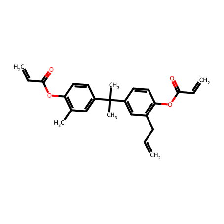 C=CCc1cc(C(C)(C)c2ccc(OC(=O)C=C)c(C)c2)ccc1OC(=O)C=C